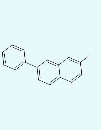 Cc1ccc2ccc(-c3[c]ccc[c]3)cc2c1